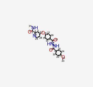 CNC(=O)c1cc(Oc2ccc(C(=O)NNC(=O)c3ccc(OC)cc3)cc2)ccn1